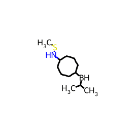 CSNC1CCCC(BC(C)C)CCC1